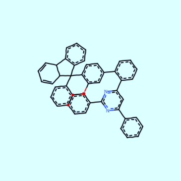 C1=CC2c3ccccc3C3(c4ccccc4Oc4cc(-c5ccccc5-c5cc(-c6ccccc6)nc(-c6ccccc6)n5)ccc43)C2C=C1